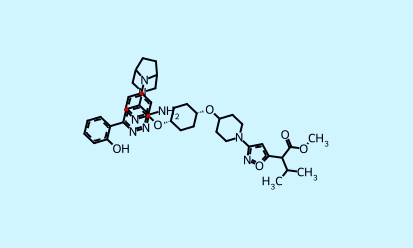 COC(=O)C(c1cc(N2CCC(O[C@H]3CC[C@@H](Oc4cc(N5C6CCC5CN(c5cc(-c7ccccc7O)nnc5N)C6)ccn4)CC3)CC2)no1)C(C)C